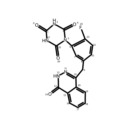 O=c1[nH]c(=O)n(-c2cc(Cc3n[nH]c(=O)c4ccccc34)ccc2F)c(=O)[nH]1